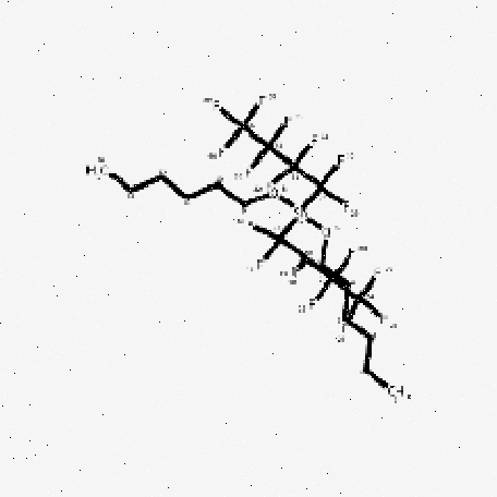 CCCCCC[O][Sn]([O]CCCCCC)([C](F)(F)C(F)(F)C(F)(F)C(F)(F)F)[C](F)(F)C(F)(F)C(F)(F)C(F)(F)F